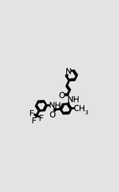 Cc1ccc(C(=O)Nc2cccc(C(F)(F)F)c2)cc1NC(=O)C=Cc1cccnc1